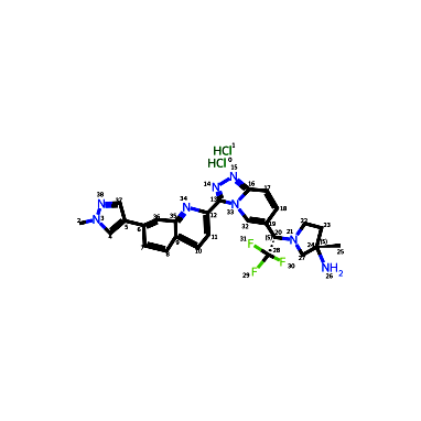 Cl.Cl.Cn1cc(-c2ccc3ccc(-c4nnc5ccc([C@H](N6CC[C@](C)(N)C6)C(F)(F)F)cn45)nc3c2)cn1